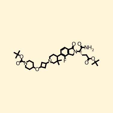 CC(C)(C)OC(=O)CC[C@@H](C(N)=O)N1Cc2c(ccc(C3CCN(C4CC(OC5CCN(C(=O)OC(C)(C)C)CC5)C4)CC3(C)C)c2F)C1=O